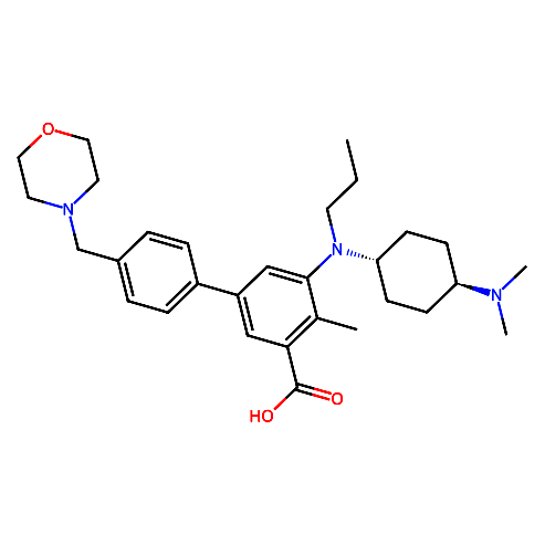 CCCN(c1cc(-c2ccc(CN3CCOCC3)cc2)cc(C(=O)O)c1C)[C@H]1CC[C@H](N(C)C)CC1